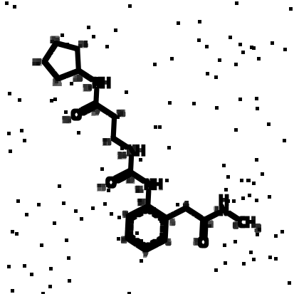 CNC(=O)Cc1ccccc1NC(=O)NCCC(=O)NC1CCCC1